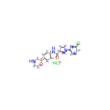 Cl.O=C(Nc1ccc(C2CNCCO2)cc1)c1ccn(-c2cncc(Cl)n2)n1